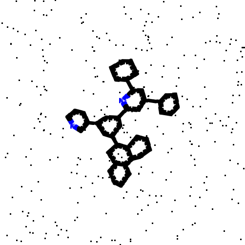 c1ccc(-c2cc(-c3ccccc3)nc(-c3cc(-c4cccnc4)cc(-c4cc5ccccc5c5ccccc45)c3)c2)cc1